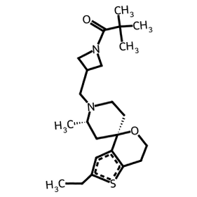 CCc1cc2c(s1)CCO[C@@]21CCN(CC2CN(C(=O)C(C)(C)C)C2)[C@@H](C)C1